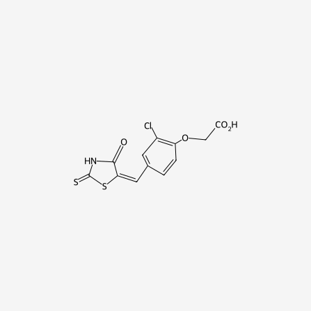 O=C(O)COc1ccc(/C=C2/SC(=S)NC2=O)cc1Cl